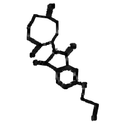 O=CCOc1ccc2c(c1)C(=O)N(C1CCC(=O)CCCC1=O)C2=O